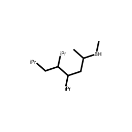 CBC(C)CC(C(C)C)C(CC(C)C)C(C)C